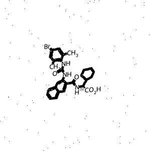 Cc1cc(Br)cc(C)c1NC(=O)Nc1cc2ccccc2cc1C(=O)N[C@H](C(=O)O)C1CCCCC1